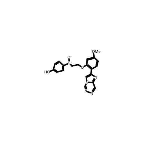 COc1ccc(-c2cn3cnncc3n2)c(OCC[S+]([O-])c2ccc(O)cc2)c1